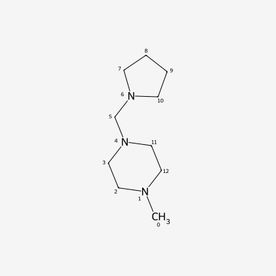 CN1CCN(CN2CCCC2)CC1